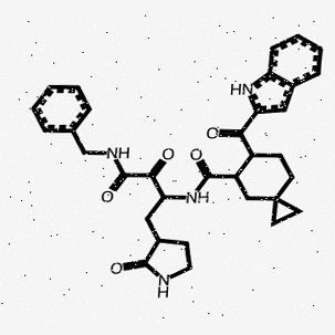 O=C(NCc1ccccc1)C(=O)C(CC1CCNC1=O)NC(=O)C1CC2(CCC1C(=O)c1cc3ccccc3[nH]1)CC2